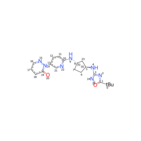 CC(C)(C)c1nc(N[C@H]2CC[C@H](Nc3ccc(-n4ncccc4=O)cn3)C2)no1